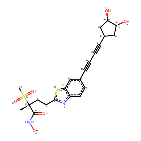 C[C@@](CCc1nc2ccc(C#CC#CC3C[C@@H](O)[C@@H](O)C3)cc2s1)(C(=O)NO)S(C)(=O)=O